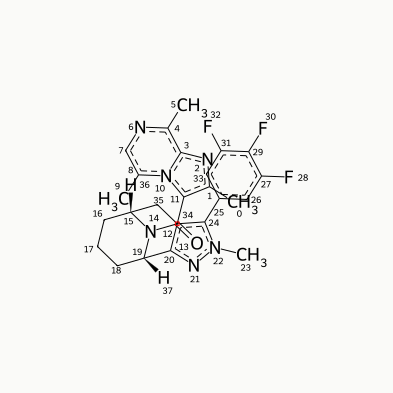 Cc1nc2c(C)ncc(C)n2c1C(=O)N1[C@@H]2CCC[C@H]1c1nn(C)c(-c3cc(F)c(F)c(F)c3)c1C2